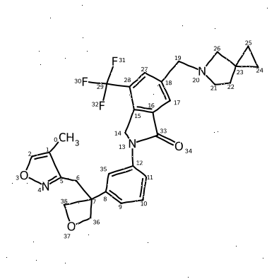 Cc1conc1CC1(c2cccc(N3Cc4c(cc(CN5CCC6(CC6)C5)cc4C(F)(F)F)C3=O)c2)COC1